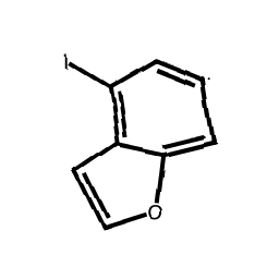 Ic1c[c]cc2occc12